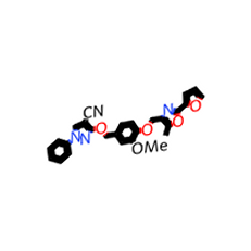 COc1cc(COc2nn(-c3ccccc3)cc2C#N)ccc1OCc1nc(-c2ccco2)oc1C